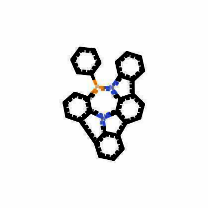 c1ccc(-p2c3cccc4c5cccc6c7ccc8c9ccccc9n2c8c7n(c65)c43)cc1